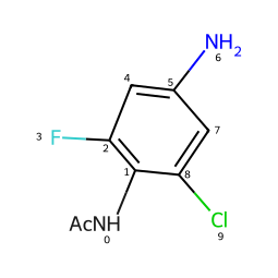 CC(=O)Nc1c(F)cc(N)cc1Cl